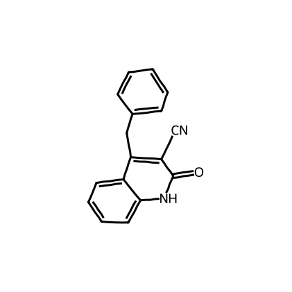 N#Cc1c(Cc2ccccc2)c2ccccc2[nH]c1=O